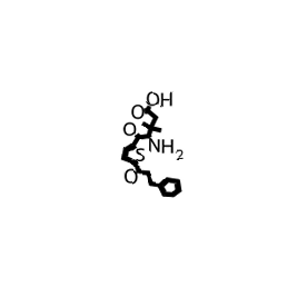 CC(C)(CC(=O)O)C(N)C(=O)c1ccc(C(=O)CCc2ccccc2)s1